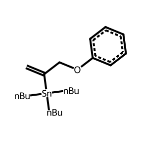 C=[C](COc1ccccc1)[Sn]([CH2]CCC)([CH2]CCC)[CH2]CCC